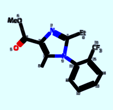 CCc1nc(C(=O)OC)c(C)n1-c1ccccc1C(F)(F)F